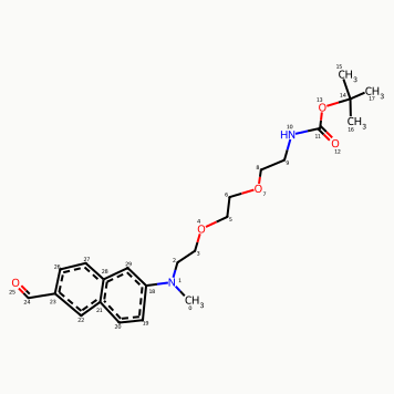 CN(CCOCCOCCNC(=O)OC(C)(C)C)c1ccc2cc(C=O)ccc2c1